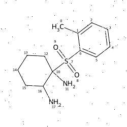 Cc1ccccc1S(=O)(=O)C1(N)CCCCC1N